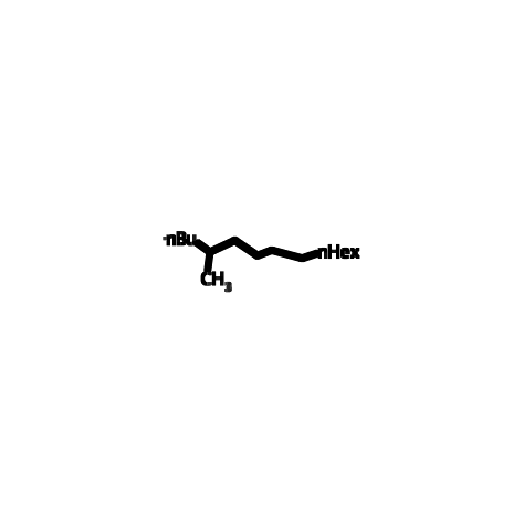 CCC[CH]C(C)CCCCCCCCCC